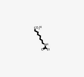 CCC(=O)NCCCCCCCC(=O)O